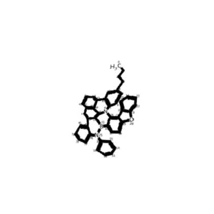 CCCCc1ccc(N2c3cccc4c3B(c3ccc5oc6ccccc6c5c32)N(c2ccccc2)c2ccccc2-4)c(-c2ccccc2)c1